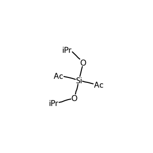 CC(=O)[Si](OC(C)C)(OC(C)C)C(C)=O